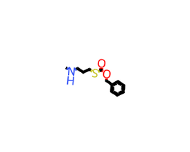 CNCCCSC(=O)OCc1ccccc1